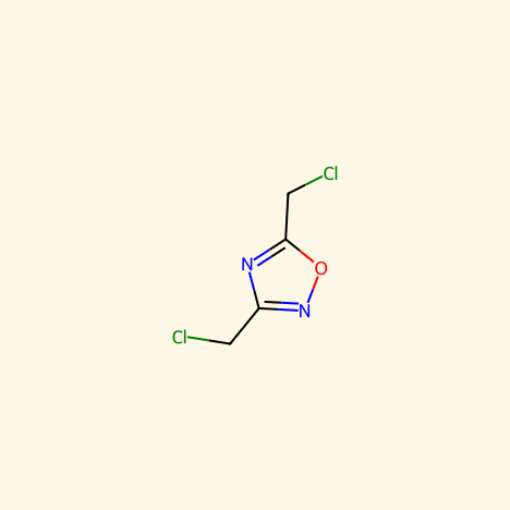 ClCc1noc(CCl)n1